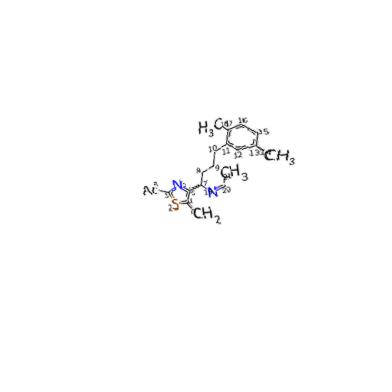 C=c1sc(C(C)=O)n/c1=C(CCCc1cc(C)ccc1C)/N=C\C